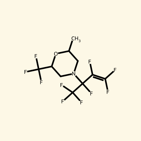 CC1CN(C(F)(C(F)=C(F)F)C(F)(F)F)CC(C(F)(F)F)O1